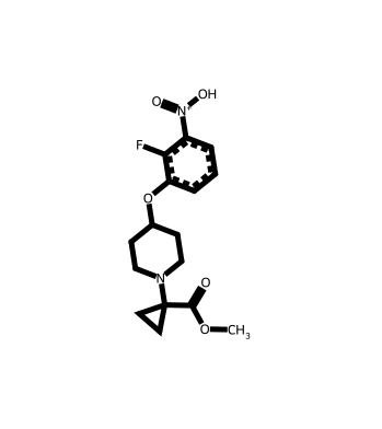 COC(=O)C1(N2CCC(Oc3cccc([N+](=O)O)c3F)CC2)CC1